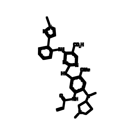 C=CC(=O)Nc1cc(Nc2ncc(C(=O)O)c(Nc3ccccc3-c3ccn(C)n3)n2)c(OC)cc1N(C)C1CCN(C)C1